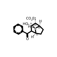 CCOC(=O)[C@@H]1[C@H]2CC[C@@H](C(C(=O)c3ccccc3)[C@@H]1O)N2C